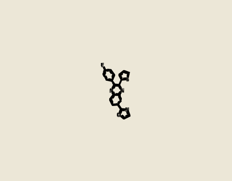 Fc1ccc(-c2nc3ccc(-c4ncco4)cc3nc2-c2cccs2)cc1